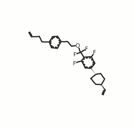 C=CCCc1ccc(CCOC(F)(F)c2c(F)cc([C@H]3CC[C@H](C=C)CC3)cc2F)cc1